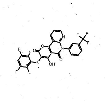 O=c1oc2c(c(O)c1Sc1c(F)c(F)cc(F)c1F)c(=O)n(-c1cccc(C(F)(F)F)c1)c1ncccc21